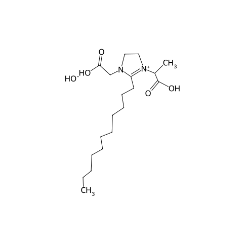 CCCCCCCCCCCC1=[N+](C(C)C(=O)O)CCN1CC(=O)O.[OH-]